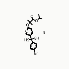 CC.CC(C)OC(=O)C(C)(C)Oc1ccc(C(S)(S)c2ccc(Br)cc2)cc1